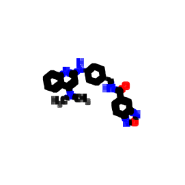 CN(C)c1cc(N[C@H]2CC[C@@H](CNC(=O)c3ccc4nonc4c3)CC2)nc2ccccc12